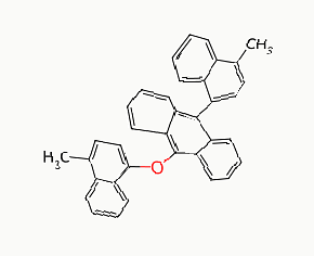 Cc1ccc(Oc2c3ccccc3c(-c3ccc(C)c4ccccc34)c3ccccc23)c2ccccc12